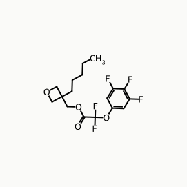 CCCCCC1(COC(=O)C(F)(F)Oc2cc(F)c(F)c(F)c2)COC1